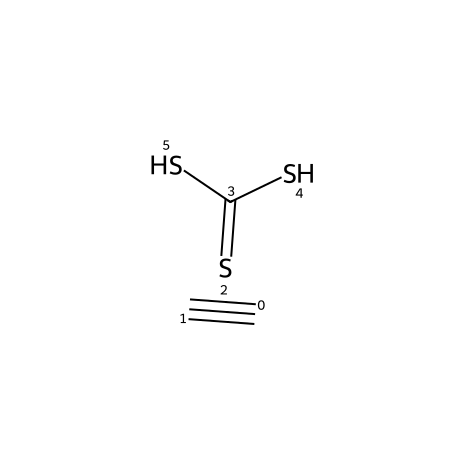 C#C.S=C(S)S